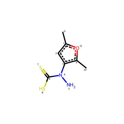 Cc1cc(N(N)C(=S)S)c(C)o1